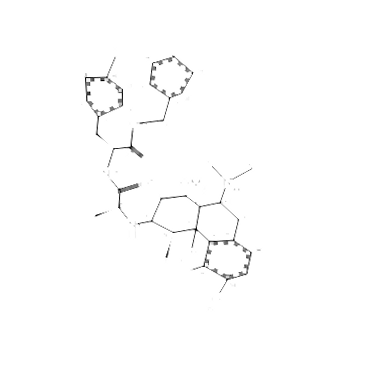 CO[C@@]12CCC(N[C@@H](C)C(=O)N[C@@H](Cc3ccc(O)cc3)C(=O)OCc3ccccc3)[C@H](C)C1(C)c1c(ccc(O)c1O)CC2N(C)C